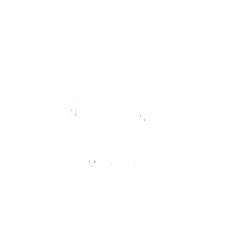 COC(=O)c1cc(-c2c(C)noc2C)cc2c1c1cc(C)ccc1n2C(C)c1ccccc1